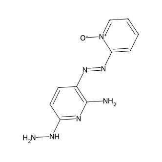 NNc1ccc(/N=N/c2cccc[n+]2[O-])c(N)n1